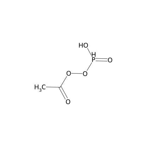 CC(=O)OO[PH](=O)O